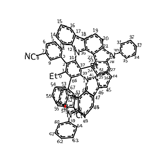 CCc1c(-c2cccc(C#N)c2)c(-n2c3ccccc3c3ccc4c(c5ccccc5n4-c4ccccc4)c32)c(CC)c(-n2c3ccccc3c3ccc4c(c5ccccc5n4-c4ccccc4)c32)c1-c1cccc(C#N)c1